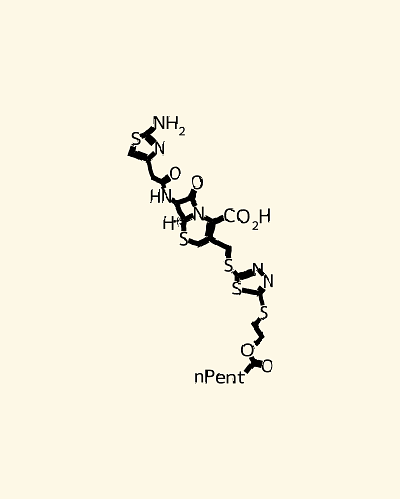 CCCCCC(=O)OCCSc1nnc(SCC2=C(C(=O)O)N3C(=O)C(NC(=O)Cc4csc(N)n4)[C@@H]3SC2)s1